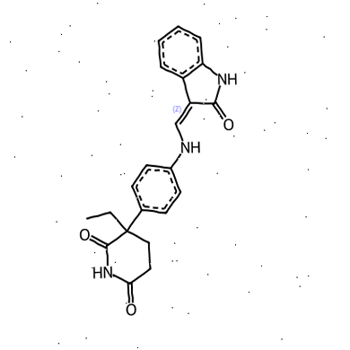 CCC1(c2ccc(N/C=C3\C(=O)Nc4ccccc43)cc2)CCC(=O)NC1=O